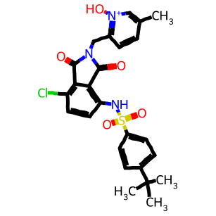 Cc1ccc(CN2C(=O)c3c(Cl)ccc(NS(=O)(=O)c4ccc(C(C)(C)C)cc4)c3C2=O)[n+](O)c1